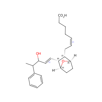 CC(c1ccccc1)C(O)/C=C/[C@@H]1[C@H](C/C=C\CCCC(=O)O)[C@H]2CC[C@@H]1O2